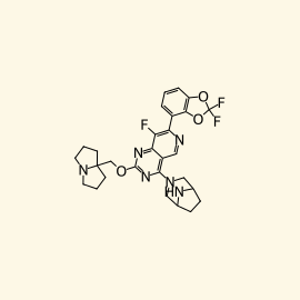 Fc1c(-c2cccc3c2OC(F)(F)O3)ncc2c(N3CC4CCC(C3)N4)nc(OCC34CCCN3CCC4)nc12